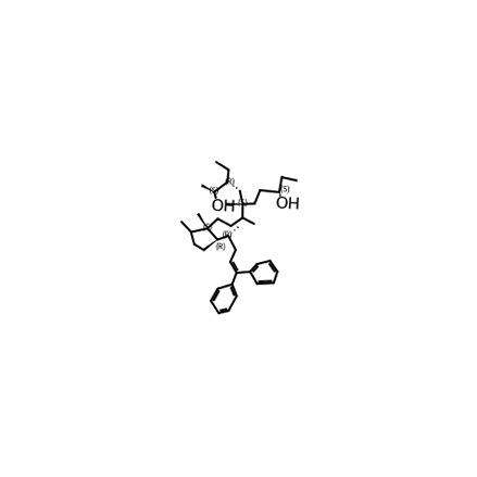 CC[C@H](O)CC[C@@](C)(C[C@@H](CC)[C@H](C)O)C(C)CC[C@@]1(C)C(C)CC[C@@H]1[C@H](C)CC=C(c1ccccc1)c1ccccc1